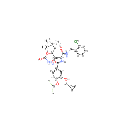 CC(C)(C)CC(OC(N)=O)c1oc(-c2ccc(OC(F)F)c(OCC3CC3)c2)nc1C(=O)NCc1ccccc1Cl